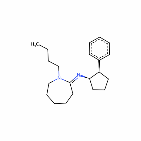 CCCCN1CCCCCC1=N[C@@H]1CCC[C@@H]1c1ccccc1